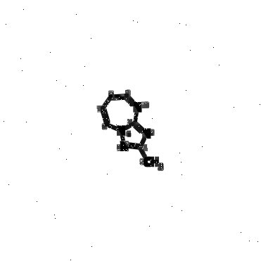 Cc1nc2n(n1)C=CC=C=N2